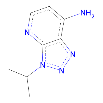 CC(C)n1nnc2c(N)ccnc21